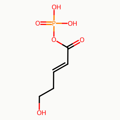 O=C(/C=C/CCO)OP(=O)(O)O